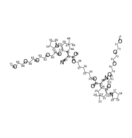 COCCOCCOCCOCCOC1=C(N2CCCC2)CC(C)(C)C/C1=C(/C#N)C(=O)OCCCCCCOC(=O)/C(C#N)=C1\CC(C)(C)CC(N2CCCC2)=C1OCCOCCOCCOCCOC